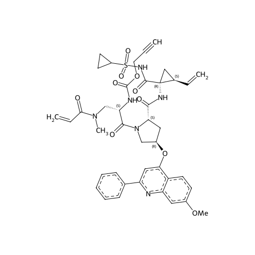 C#CCOC(=O)N[C@@H](CN(C)C(=O)C=C)C(=O)N1C[C@H](Oc2cc(-c3ccccc3)nc3cc(OC)ccc23)C[C@H]1C(=O)N[C@]1(C(=O)NS(=O)(=O)C2CC2)C[C@H]1C=C